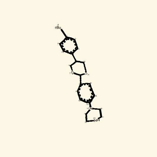 CCCCc1ccc(C2COC(c3ccc(N4CCNCC4)cc3)OC2)cc1